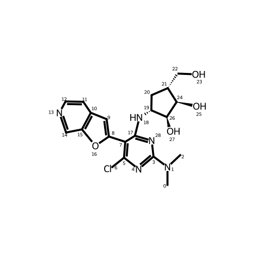 CN(C)c1nc(Cl)c(-c2cc3ccncc3o2)c(N[C@@H]2C[C@H](CO)[C@@H](O)[C@H]2O)n1